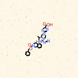 CC(C)[C@H]1CN(c2cnc(C(=O)O)cn2)CCN1/C(=N\C#N)Nc1cccc2c1CCN(C(=O)OCc1ccccc1)C2